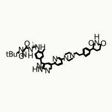 Cc1cc(-c2n[nH]c3ncc(-c4ccc(N5CCN(CCc6ccc(C7CCC(=O)NC7=O)cc6)CC5)cn4)cc23)ccc1N[C@@H](C)NC(=O)c1noc(C(C)(C)C)n1